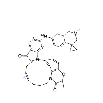 CN1CC2CC(Nc3ncc4c(=O)n5n(c4n3)-c3ccc4c(c3)N(CCC/C=C\C5)C(=O)C(C)(C)O4)=CC=C2C2(CC2)C1